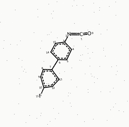 O=C=Nc1ccc(-c2ccc(F)cc2)cc1